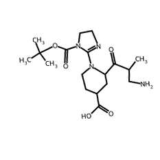 CC(CN)C(=O)C1CC(C(=O)O)CCN1C1=NCCN1C(=O)OC(C)(C)C